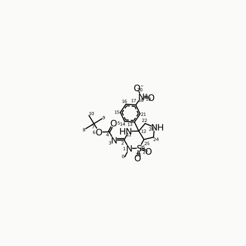 CN1/C(=N/C(=O)OC(C)(C)C)NC2(c3cccc([N+](=O)[O-])c3)CNCC2S1(=O)=O